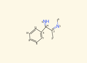 C/N=C(/C)C(=N)c1ccccc1